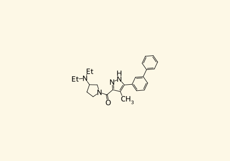 CCN(CC)C1CCN(C(=O)c2n[nH]c(-c3cccc(-c4ccccc4)c3)c2C)C1